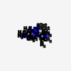 CCCCCCCCN(CCCCCCCC)c1nc(N(C)C2CC(C)(C)NC(C)(C)C2)nc(N(C)C2CC(C)(C)NC(C)(C)C2)n1